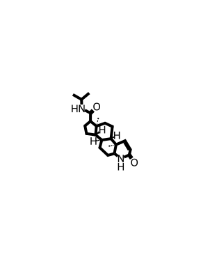 CC(C)NC(=O)C1CC[C@H]2[C@@H]3CCC4NC(=O)C=C[C@]4(C)[C@@H]3CC[C@]12C